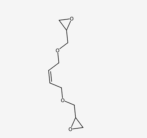 C(=C/COCC1CO1)/COCC1CO1